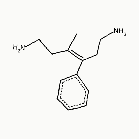 CC(CCN)=C(CCN)c1ccccc1